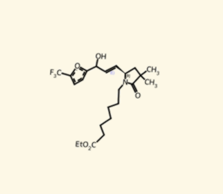 CCOC(=O)CCCCCCN1C(=O)C(C)(C)C[C@@H]1/C=C/C(O)c1ccc(C(F)(F)F)o1